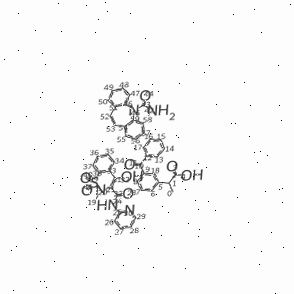 CC(C(=O)O)c1cccc(C(=O)c2ccccc2)c1.CN1C(C(=O)Nc2ccccn2)=C(O)c2ccccc2S1(=O)=O.NC(=O)N1c2ccccc2C=Cc2ccccc21